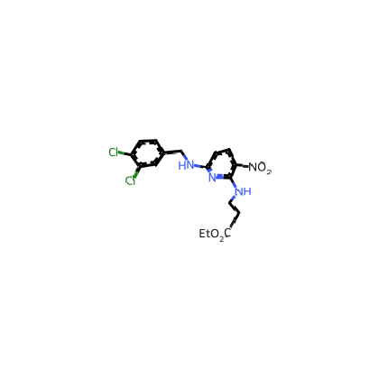 CCOC(=O)CCNc1nc(NCc2ccc(Cl)c(Cl)c2)ccc1[N+](=O)[O-]